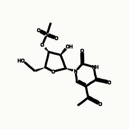 CC(=O)c1cn([C@@H]2O[C@H](CO)[C@H](OS(C)(=O)=O)[C@H]2O)c(=O)[nH]c1=O